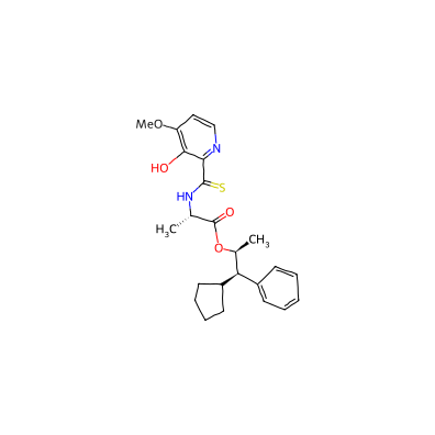 COc1ccnc(C(=S)N[C@@H](C)C(=O)O[C@@H](C)[C@@H](c2ccccc2)C2CCCC2)c1O